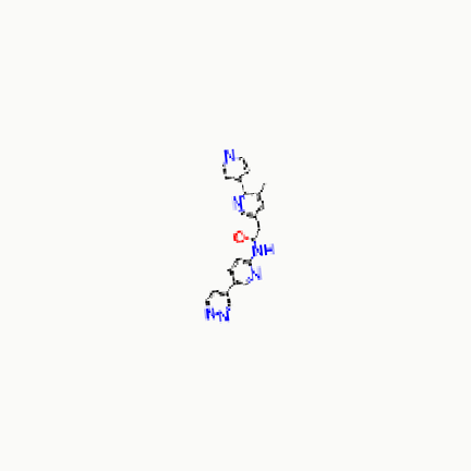 Cc1cc(CC(=O)Nc2ccc(-c3ccnnc3)cn2)cnc1-c1ccncc1